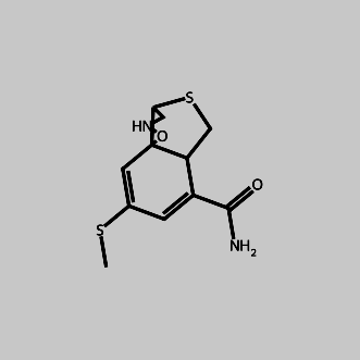 CSC1=CC23ONCC2SCC3C(C(N)=O)=C1